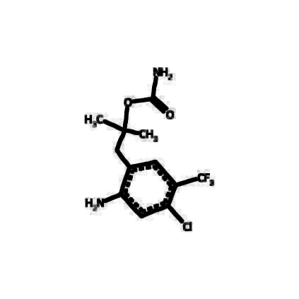 CC(C)(Cc1cc(C(F)(F)F)c(Cl)cc1N)OC(N)=O